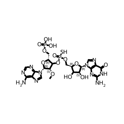 CO[C@H]1C(OP(=O)(S)OC[C@H]2O[C@@H](n3cnc4c(=O)[nH]c(N)nc43)[C@@H](O)C2O)[C@@H](COP(=O)(O)O)O[C@H]1n1cnc2c(N)ncnc21